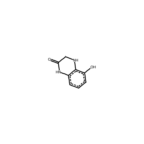 O=C1[CH]Nc2c(O)cccc2N1